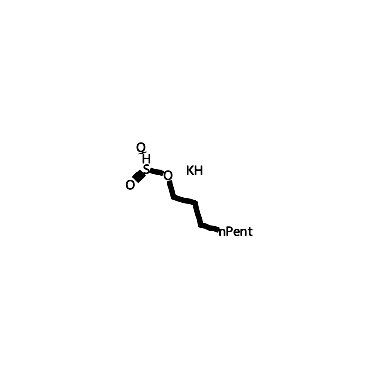 CCCCCCCCO[SH](=O)=O.[KH]